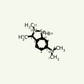 CC1c2ccc(N(C)C)cc2[Se]N1C.I